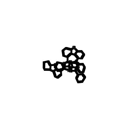 c1ccc(-c2nc(-c3ccccc3)nc(-c3cccc4oc5cccc(-c6nc(-c7cccc8c7oc7ccccc78)nc7c6sc6ccccc67)c5c34)n2)cc1